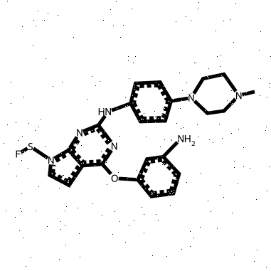 CN1CCN(c2ccc(Nc3nc(Oc4cccc(N)c4)c4ccn(SF)c4n3)cc2)CC1